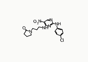 O=C1CCCN1CCCNc1nc(Nc2ccc(Cl)cc2)ncc1[N+](=O)[O-]